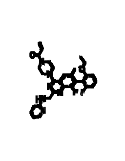 C=CC(=O)N1CCN(c2nc(CNc3ccccn3)nc3c(F)c(-c4c(F)cccc4OCC)c(C)cc23)CC1